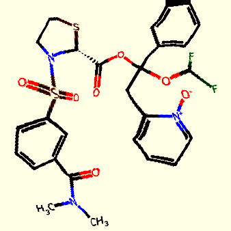 CN(C)C(=O)c1cccc(S(=O)(=O)N2CCS[C@@H]2C(=O)OC(Cc2cccc[n+]2[O-])(OC(F)F)c2ccccc2)c1